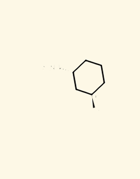 CC(=O)N[C@@H]1CCC[C@@H](C(C)C)C1